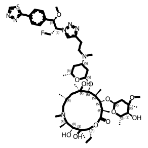 CC[C@H]1OC(=O)[C@H](C)[C@@H](O[C@H]2C[C@@](C)(OC)[C@@H](O)[C@H](C)O2)[C@H](C)[C@@H](O[C@H]2C[C@@H](N(C)CCc3cn([C@H](CF)[C@H](OC)c4ccc(-c5nncs5)cc4)nn3)C[C@@H](C)O2)[C@](C)(O)C[C@@H](C)CN(C)[C@H](C)[C@@H](O)[C@]1(C)O